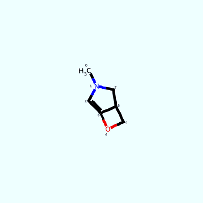 CN1C=C2OCC2C1